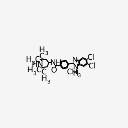 Cc1cc(C(=O)NC2CC(C)(C)NC(C)(C)C2)ccc1-c1nc2cc(Cl)c(Cl)cc2[nH]1